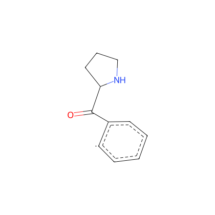 O=C(c1[c]cccc1)C1CCCN1